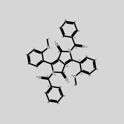 COc1ccccc1C1=C2C(=O)N(C(=O)c3ccccc3)C(c3ccccc3OC)=C2C(=O)N1C(=O)c1ccccc1